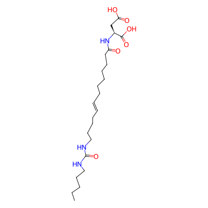 CCCCCNC(=O)NCCCCC=CCCCCCCC(=O)N[C@@H](CC(=O)O)C(=O)O